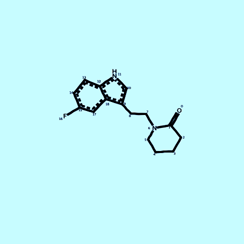 O=C1CCCCN1CCc1c[nH]c2ccc(F)cc12